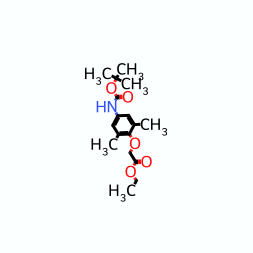 CCOC(=O)COc1c(C)cc(NC(=O)OC(C)(C)C)cc1C